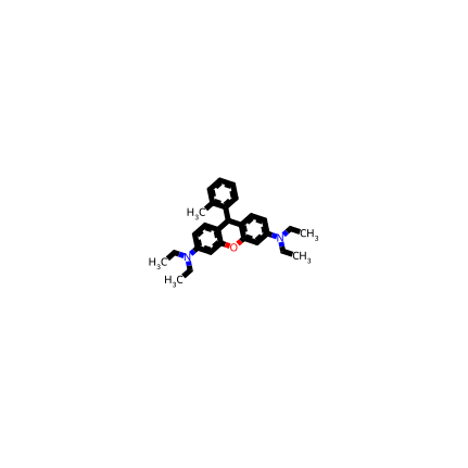 CCN(CC)c1ccc2c(c1)Oc1cc(N(CC)CC)ccc1C2c1ccccc1C